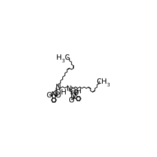 CCCCC/C=C\C/C=C\CCCCCCCCN(CCCCN(CCCCCCCC/C=C\C/C=C\CCCCC)CC(O)CN1C(=O)c2ccccc2C1=O)CC(O)CN1C(=O)c2ccccc2C1=O